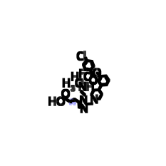 CNCCn1c(/C=C/C(=O)O)cnc1CN1CCC(c2cccc3c2OC(C)(c2ccc(Cl)cc2F)O3)CC1